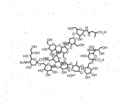 CC(=O)N[C@H]1C([C@H](O)[C@H](O)CO)O[C@@](OCC2O[C@@H](O[C@H]3C(O)C(C)[C@H](OC4[C@@H](OCC5O[C@@H](O[C@@H]6C(CO)O[C@@H](O[C@@H]7C(CO)O[C@@H](NC(=O)CC(C)C(=O)O)[C@@H](C)C7O)[C@@H](C)C6O)[C@H](O)C(O[C@H]6O[C@H](CO)[C@@H](O)C(O)C6O[C@@H]6OC(CO)[C@@H](O[C@@H]7OC(CO[C@]8(C(=O)O)C[C@@H](O)[C@@H](NC(C)=O)C([C@H](O)[C@H](O)CO)O8)[C@H](O)[C@H](O)C7O)C(O)[C@@H]6C)[C@@H]5O)OC(CO)[C@@H](O)[C@@H]4O)O[C@H]3CO)[C@@H](O)C(O)[C@H]2O)(C(=O)O)C[C@H]1O